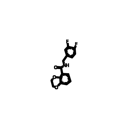 O=C(NCc1ccc(F)c(F)c1)c1cccc2c1OCCO2